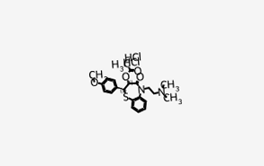 COc1ccc([C@@H]2Sc3ccccc3N(CCN(C)C)C(=O)[C@@H]2OC(C)=O)cc1.Cl.Cl